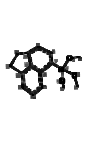 CO[Si](OC)(OC)c1ccc2c3c(cccc13)CC2